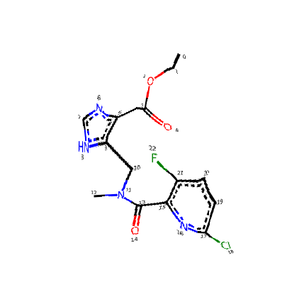 CCOC(=O)c1nc[nH]c1CN(C)C(=O)c1nc(Cl)ccc1F